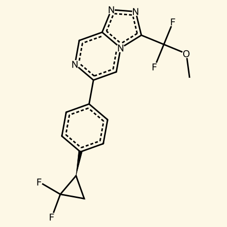 COC(F)(F)c1nnc2cnc(-c3ccc([C@H]4CC4(F)F)cc3)cn12